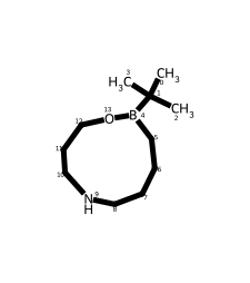 CC(C)(C)B1CCCCNCCCO1